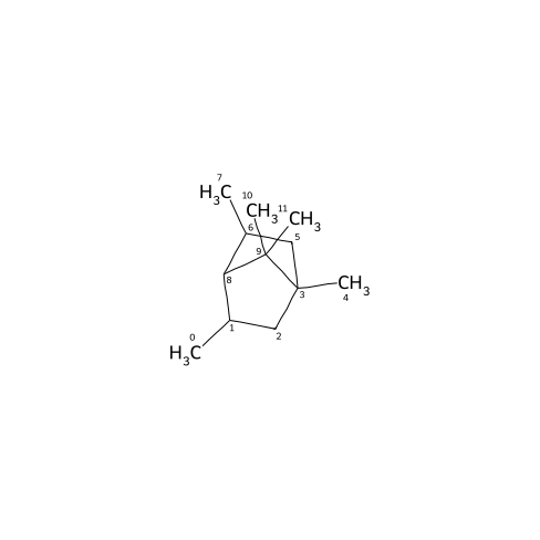 CC1CC2(C)CC(C)C1C2(C)C